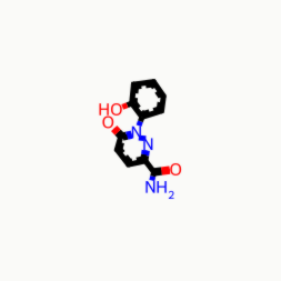 NC(=O)c1ccc(=O)n(-c2ccccc2O)n1